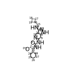 COCC(NC(=O)Nc1cc2[nH]nc(NCC3CCC3)c2cn1)c1ccccc1